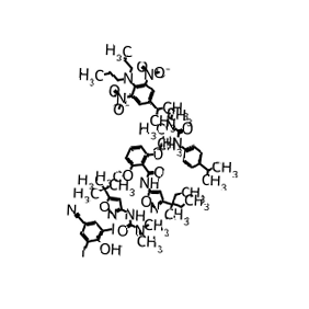 CC(C)c1ccc(NC(=O)N(C)C)cc1.CCC(C)(CC)c1cc(NC(=O)c2c(OC)cccc2OC)on1.CCCN(CCC)c1c([N+](=O)[O-])cc(C(C)C)cc1[N+](=O)[O-].CN(C)C(=O)Nc1cc(C(C)(C)C)on1.N#Cc1cc(I)c(O)c(I)c1